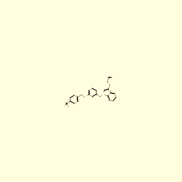 O=C(O)CCc1cn(Cc2cccc(OCc3ccc(C(F)(F)F)cc3)c2)c2ccccc12